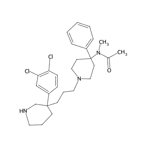 CC(=O)N(C)C1(c2ccccc2)CCN(CCCC2(c3ccc(Cl)c(Cl)c3)CCCNC2)CC1